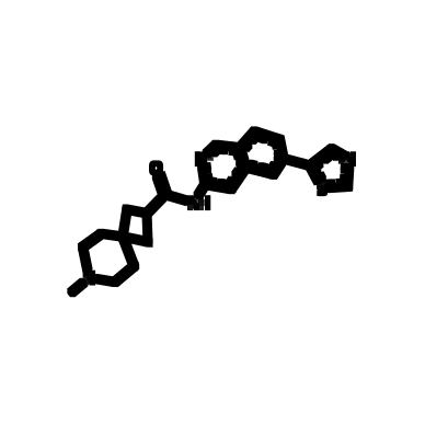 CN1CCC2(CC1)CC(C(=O)Nc1cc3cc(-c4cncs4)ccc3cn1)C2